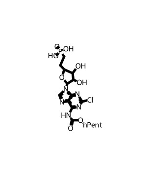 CCCCCOC(=O)Nc1nc(Cl)nc2c1ncn2C1OC(CCP(=O)(O)O)C(O)C1O